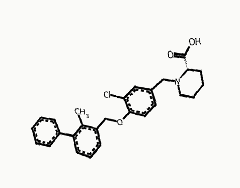 Cc1c(COc2ccc(CN3CCCC[C@H]3C(=O)O)cc2Cl)cccc1-c1ccccc1